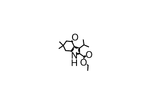 CCOC(=O)c1[nH]c2c(c1C(C)C)C(=O)CC(C)(C)C2